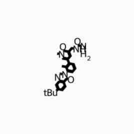 Cc1c(-c2cc(CNC(N)=O)c(=O)n(C)c2)cccc1-n1cnc2cc(C(C)(C)C)ccc2c1=O